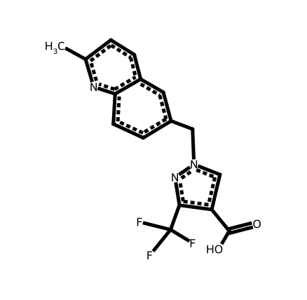 Cc1ccc2cc(Cn3cc(C(=O)O)c(C(F)(F)F)n3)ccc2n1